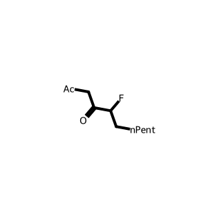 CCCCCCC(F)C(=O)CC(C)=O